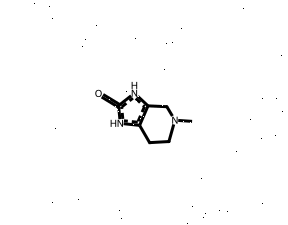 CN1CCc2[nH]c(=O)[nH]c2C1